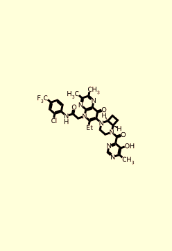 CCc1c(N2CCN(C(=O)c3ncnc(C)c3O)[C@H]3CC[C@@H]32)c(=O)c2nc(C)c(C)nc2n1CC(=O)Nc1ccc(C(F)(F)F)cc1Cl